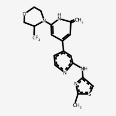 C=C1C=C(c2ccnc(Nc3csc(C)n3)c2)C=C(N2CCOCC2C(F)(F)F)N1